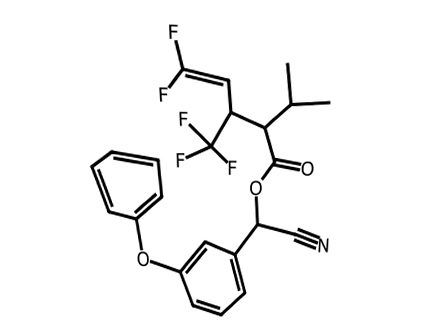 CC(C)C(C(=O)OC(C#N)c1cccc(Oc2ccccc2)c1)C(C=C(F)F)C(F)(F)F